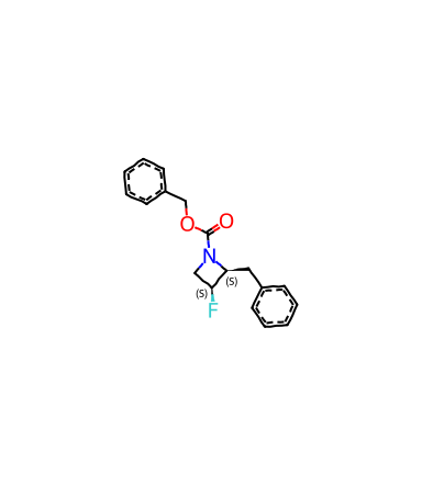 O=C(OCc1ccccc1)N1C[C@H](F)[C@@H]1Cc1ccccc1